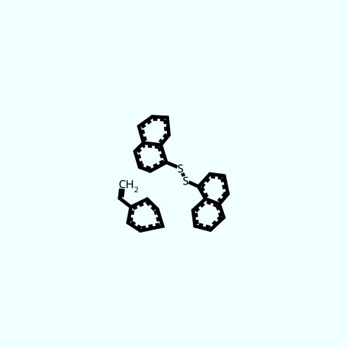 C=Cc1ccccc1.c1ccc2c(SSc3cccc4ccccc34)cccc2c1